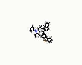 c1ccc(-n2c3ccccc3c3c4c(ccc32)-c2c(ccc3ccccc23)C4c2ccc3sc4ccccc4c3c2)cc1